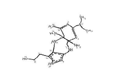 CN(C)C1=NC2(N)Nc3n[nH]c(CCO)c3NC2(N)C(N)=N1